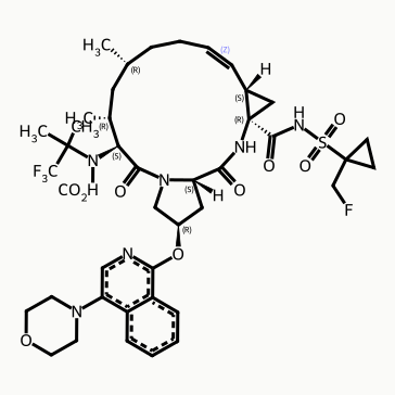 C[C@@H]1CC/C=C\[C@@H]2C[C@@]2(C(=O)NS(=O)(=O)C2(CF)CC2)NC(=O)[C@@H]2C[C@@H](Oc3ncc(N4CCOCC4)c4ccccc34)CN2C(=O)[C@@H](N(C(=O)O)C(C)(C)C(F)(F)F)[C@H](C)C1